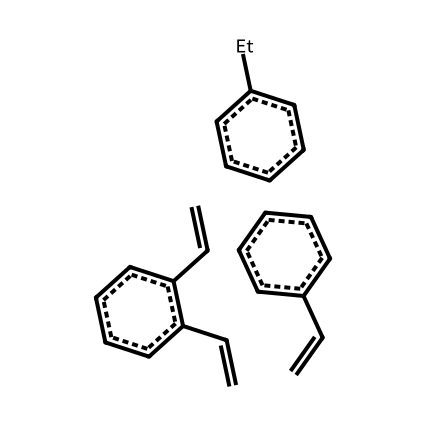 C=Cc1ccccc1.C=Cc1ccccc1C=C.CCc1ccccc1